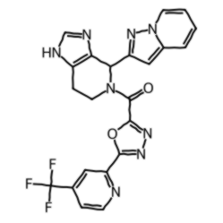 O=C(c1nnc(-c2cc(C(F)(F)F)ccn2)o1)N1CCc2[nH]cnc2C1c1cc2ccccn2n1